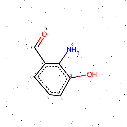 Nc1c(O)cccc1[C]=O